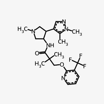 Cc1c(C2CN(C)CC2NC(=O)C(C)(C)COc2ncccc2C(F)(F)F)cnn1C